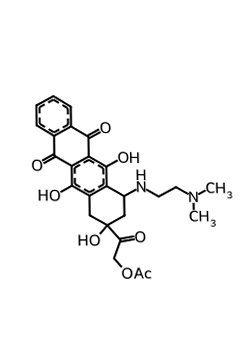 CC(=O)OCC(=O)C1(O)Cc2c(O)c3c(c(O)c2C(NCCN(C)C)C1)C(=O)c1ccccc1C3=O